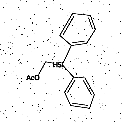 CC(=O)OC[SiH](c1ccccc1)c1ccccc1